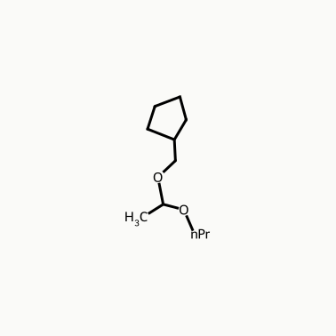 CCCOC(C)OCC1CCCC1